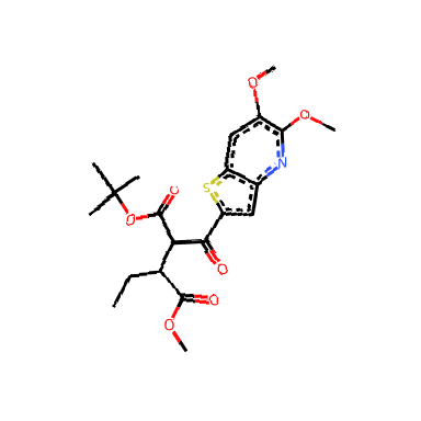 CCC(C(=O)OC)C(C(=O)OC(C)(C)C)C(=O)c1cc2nc(OC)c(OC)cc2s1